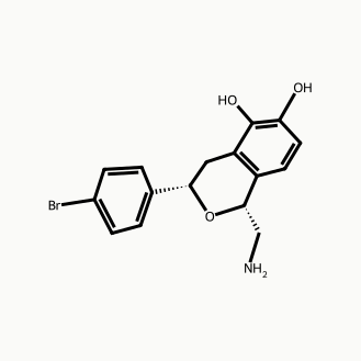 NC[C@@H]1O[C@H](c2ccc(Br)cc2)Cc2c1ccc(O)c2O